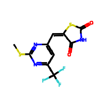 CSc1nc(/C=C2/SC(=O)NC2=O)cc(C(F)(F)F)n1